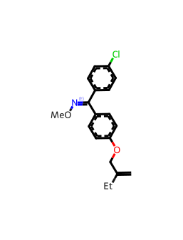 C=C(CC)COc1ccc(/C(=N\OC)c2ccc(Cl)cc2)cc1